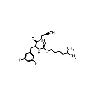 C#CCNC(=O)[C@H](Cc1cc(F)cc(F)c1)NC(=O)OCCCCC(C)C